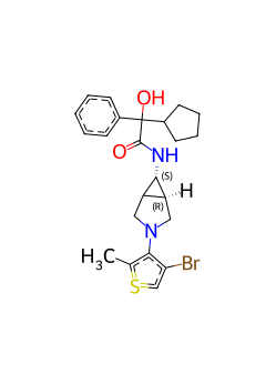 Cc1scc(Br)c1N1CC2[C@H](C1)[C@H]2NC(=O)C(O)(c1ccccc1)C1CCCC1